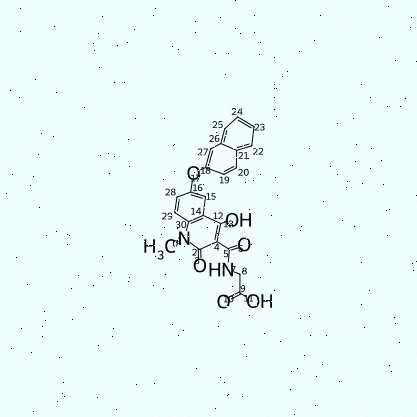 Cn1c(=O)c(C(=O)NCC(=O)O)c(O)c2cc(Oc3ccc4ccccc4c3)ccc21